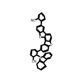 N#Cc1ccccc1-c1ccc2oc3c(ccc4oc5ccc(C6=CC=CC(C#N)C6n6c7c(c8ccccc86)C=CCC7)cc5c43)c2c1